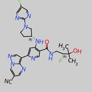 CC(C)(O)[C@H](F)CNC(=O)c1cnc(-c2cnn3cc(C#N)cnc23)cc1N[C@@H]1CCN(c2ncc(F)cn2)C1